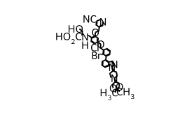 CC1(C)OCC(N2CCC(n3ncc4c(-c5cccc(COc6cc(OCc7cncc(C#N)c7)c(CN[C@@H](CO)C(=O)O)cc6Cl)c5Br)cccc43)CC2)CO1